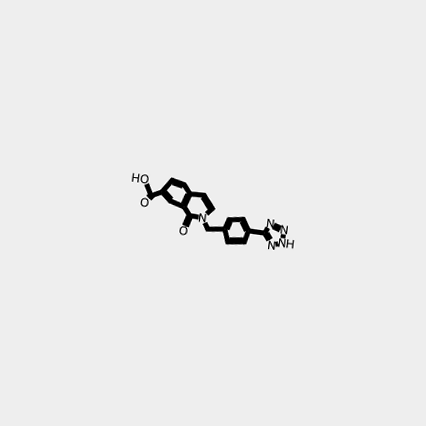 O=C(O)c1ccc2ccn(Cc3ccc(-c4nn[nH]n4)cc3)c(=O)c2c1